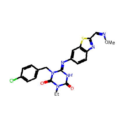 CCn1c(=O)[nH]/c(=N\c2ccc3nc(/C=N\OC)sc3c2)n(Cc2ccc(Cl)cc2)c1=O